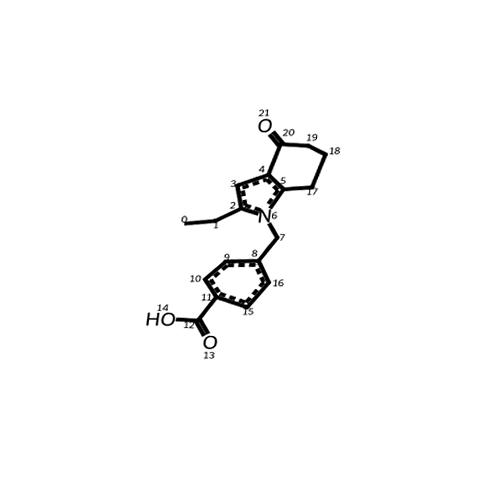 CCc1cc2c(n1Cc1ccc(C(=O)O)cc1)CCCC2=O